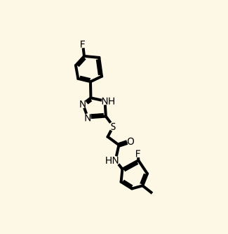 Cc1ccc(NC(=O)CSc2nnc(-c3ccc(F)cc3)[nH]2)c(F)c1